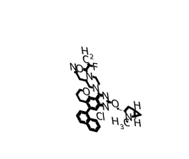 C=C(F)C(=O)N1CCN(c2nc(OC[C@@H]3C[C@H]4C[C@H]4N3C)nc3cc(-c4cccc5cccc(Cl)c45)c4c(c23)OCCC4)CC1CC#N